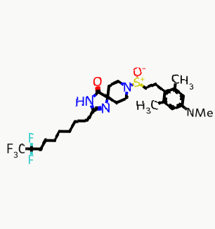 CNc1cc(C)c(CC[S@+]([O-])N2CCC3(CC2)N=C(CCCCCCCC(F)(F)C(F)(F)F)NC3=O)c(C)c1